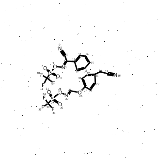 N#CC(=NOS(=O)(=O)C(F)(F)F)c1ccccc1.N#CCc1ccc(OC=NOS(=O)(=O)C(F)(F)F)cc1